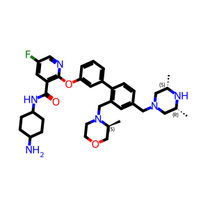 C[C@@H]1CN(Cc2ccc(-c3cccc(Oc4ncc(F)cc4C(=O)NC4CCC(N)CC4)c3)c(CN3CCOC[C@@H]3C)c2)C[C@H](C)N1